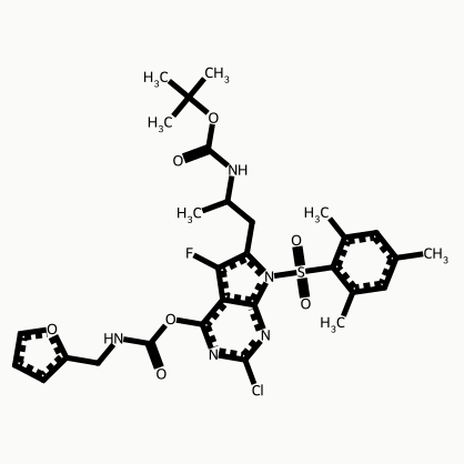 Cc1cc(C)c(S(=O)(=O)n2c(CC(C)NC(=O)OC(C)(C)C)c(F)c3c(OC(=O)NCc4ccco4)nc(Cl)nc32)c(C)c1